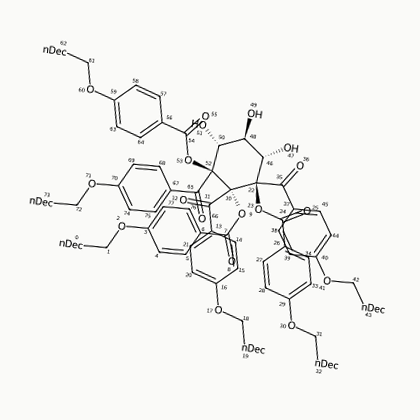 CCCCCCCCCCCOc1ccc(C(=O)O[C@@]2(C(=O)c3ccc(OCCCCCCCCCCC)cc3)[C@@](OC(=O)c3ccc(OCCCCCCCCCCC)cc3)(C(=O)c3ccc(OCCCCCCCCCCC)cc3)[C@@H](O)[C@H](O)[C@@H](O)[C@@]2(OC(=O)c2ccc(OCCCCCCCCCCC)cc2)C(=O)c2ccc(OCCCCCCCCCCC)cc2)cc1